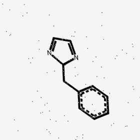 C1=N[C](Cc2ccccc2)N=C1